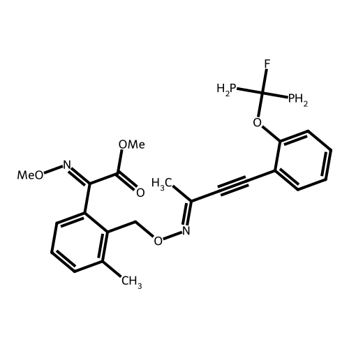 CO/N=C(/C(=O)OC)c1cccc(C)c1CO/N=C(\C)C#Cc1ccccc1OC(F)(P)P